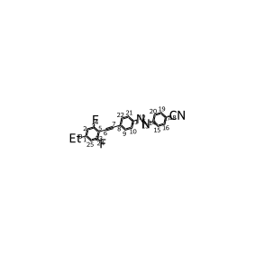 CCc1cc(F)c(C#Cc2ccc(N=Nc3ccc(C#N)cc3)cc2)c(F)c1